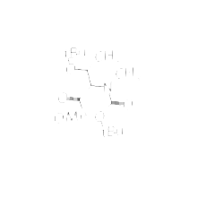 COC(=O)C(C(C)OC(C)(C)C)N(C)C(=O)OC(C)(C)C